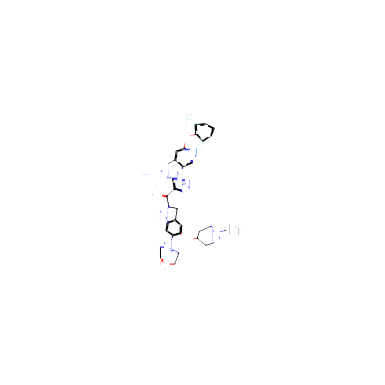 Cc1cc(Oc2c(F)cccc2F)ncc1-n1ncc(C(=O)C2Cc3cc(OC4CCN(C(C)C)CC4)c(N4CCOCC4)cc3N2)c1N